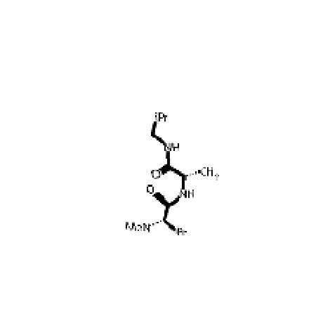 CN[C@H](C(=O)N[C@@H](C)C(=O)NCC(C)C)C(C)C